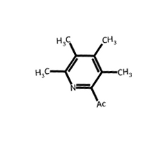 CC(=O)c1nc(C)c(C)c(C)c1C